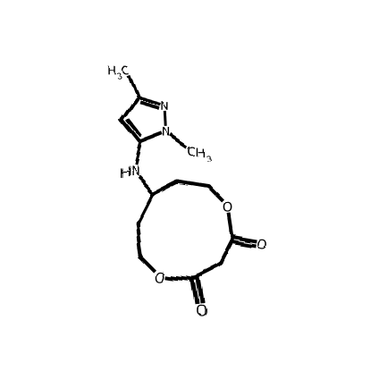 Cc1cc(NC2CCOC(=O)CC(=O)OCC2)n(C)n1